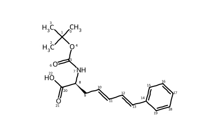 CC(C)(C)OC(=O)N[C@@H](C/C=C/C=C/c1ccccc1)C(=O)O